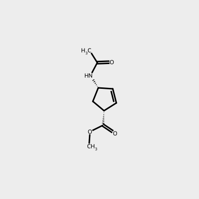 COC(=O)[C@H]1C=C[C@@H](NC(C)=O)C1